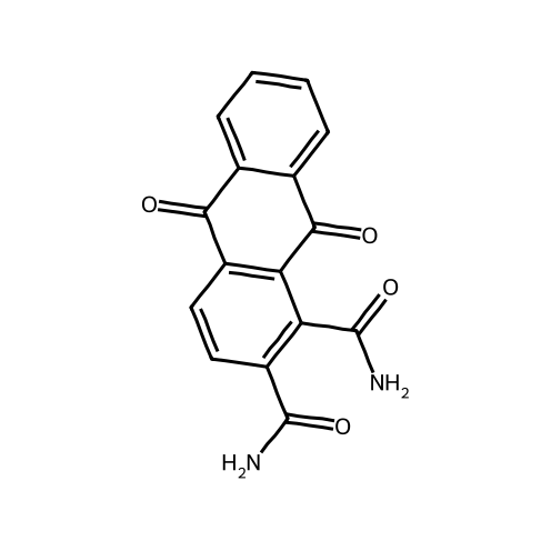 NC(=O)c1ccc2c(c1C(N)=O)C(=O)c1ccccc1C2=O